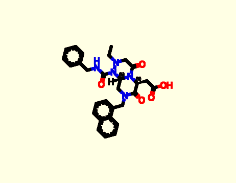 CCN1CC(=O)N2[C@@H](CC(=O)O)C(=O)N(Cc3cccc4ccccc34)C[C@@H]2N1C(=O)NCc1ccccc1